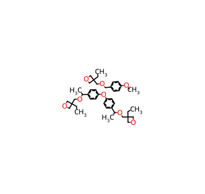 CCC1(COC(C)c2ccc(Oc3ccc(C(C)OCC4(CC)COC4)cc3)cc2)COC1.CCC1(COCc2ccc(OC)cc2)COC1